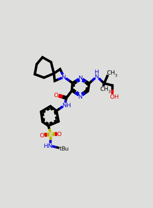 CC(C)(C)NS(=O)(=O)c1cccc(NC(=O)c2ncc(NC(C)(C)CO)nc2N2CC3(CCCCC3)C2)c1